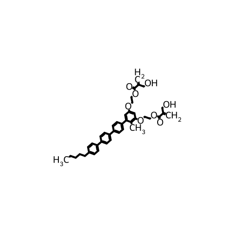 C=C(CO)C(=O)OCCOc1cc(OCCOC(=O)C(=C)CO)c(C)c(-c2ccc(-c3ccc(-c4ccc(CCCCC)cc4)cc3)cc2)c1